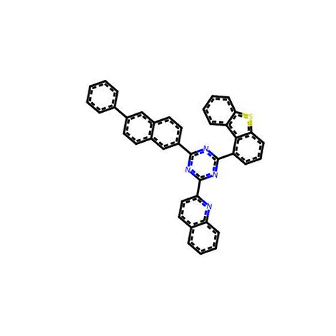 c1ccc(-c2ccc3cc(-c4nc(-c5ccc6ccccc6n5)nc(-c5cccc6sc7ccccc7c56)n4)ccc3c2)cc1